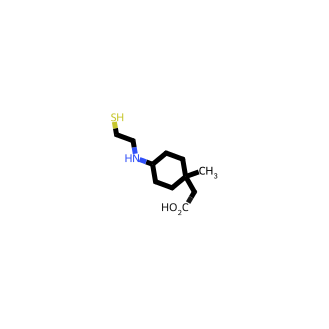 CC1(CC(=O)O)CCC(NCCS)CC1